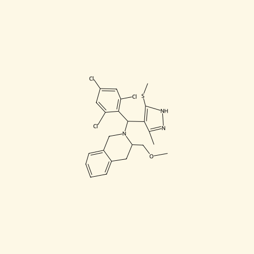 COCC1Cc2ccccc2CN1C(c1c(Cl)cc(Cl)cc1Cl)c1c(C)n[nH]c1SC